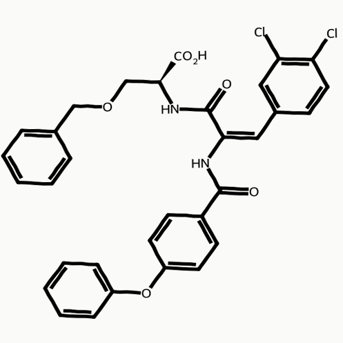 O=C(N[C@@H](COCc1ccccc1)C(=O)O)/C(=C\c1ccc(Cl)c(Cl)c1)NC(=O)c1ccc(Oc2ccccc2)cc1